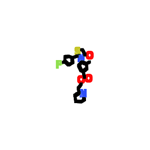 Cc1cc(C(=O)OCCc2ccccn2)ccc1N1C(=O)CSC1c1ccc(F)cc1